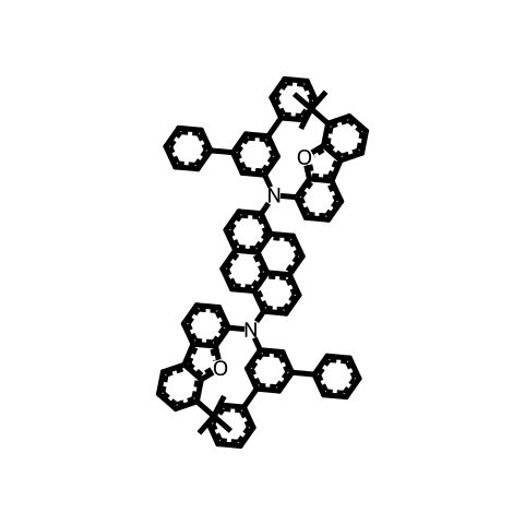 CC(C)(C)c1cccc2c1oc1c(N(c3cc(-c4ccccc4)cc(-c4ccccc4)c3)c3ccc4ccc5c(N(c6cc(-c7ccccc7)cc(-c7ccccc7)c6)c6cccc7c6oc6c(C(C)(C)C)cccc67)ccc6ccc3c4c65)cccc12